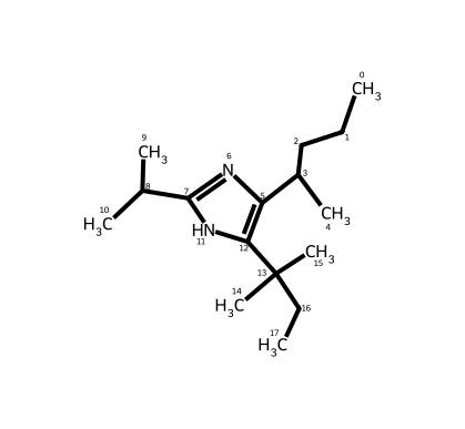 CCCC(C)c1nc(C(C)C)[nH]c1C(C)(C)CC